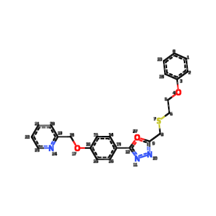 c1ccc(OCCSCc2nnc(-c3ccc(OCc4ccccn4)cc3)o2)cc1